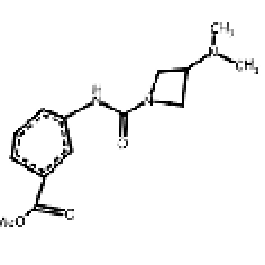 COC(=O)c1cccc(NC(=O)N2CC(N(C)C)C2)c1